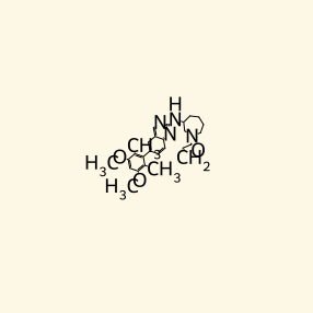 C=CC(=O)N1CCCCC(Nc2ncc3cc(-c4c(C)c(OC)cc(OC)c4C)ccc3n2)C1